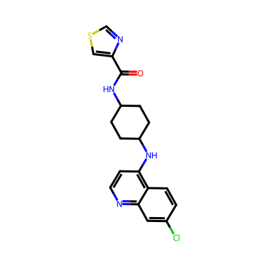 O=C(NC1CCC(Nc2ccnc3cc(Cl)ccc23)CC1)c1cscn1